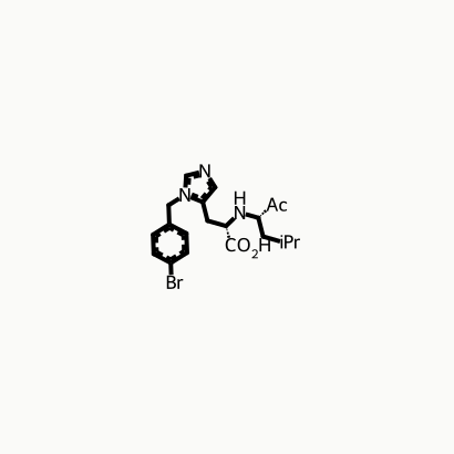 CC(=O)[C@H](CC(C)C)N[C@@H](Cc1cncn1Cc1ccc(Br)cc1)C(=O)O